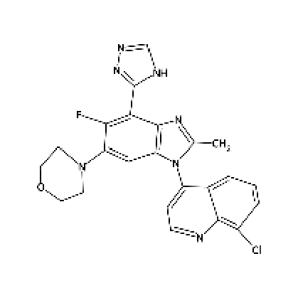 Cc1nc2c(-c3nnc[nH]3)c(F)c(N3CCOCC3)cc2n1-c1ccnc2c(Cl)cccc12